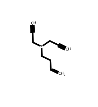 C#CCP(CC#C)CCC=C